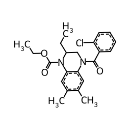 CCOC(=O)N1c2cc(C)c(C)cc2N(C(=O)c2ccccc2Cl)CC1CC